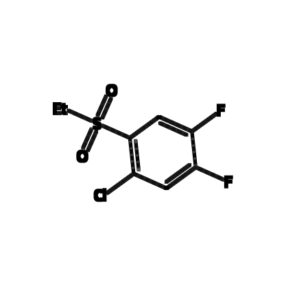 CCS(=O)(=O)c1cc(F)c(F)cc1Cl